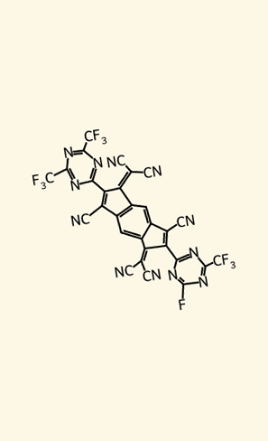 N#CC(C#N)=C1C(c2nc(F)nc(C(F)(F)F)n2)=C(C#N)c2cc3c(cc21)C(C#N)=C(c1nc(C(F)(F)F)nc(C(F)(F)F)n1)C3=C(C#N)C#N